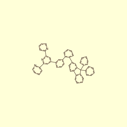 c1ccc(C2(c3ccccc3)c3ccccc3-c3ccc(-c4ccccc4-c4cccc(-c5cc(-c6ccccn6)nc(-c6ccccn6)c5)c4)cc32)cc1